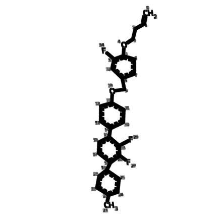 C=CCCOc1ccc(COc2ccc(-c3ccc(-c4ccc(C)cc4)c(F)c3F)cc2)cc1F